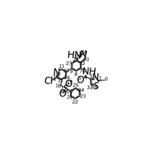 Cc1nc(C(=O)Nc2cc(-c3cnc(Cl)c(CS(=O)(=O)c4ccccc4)c3)cc3[nH]ncc23)cs1